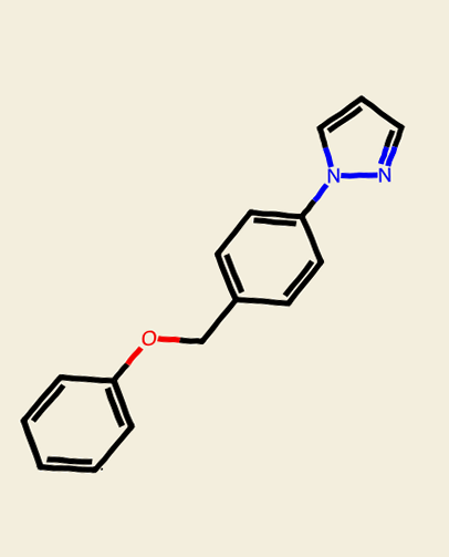 [c]1cccc(OCc2ccc(-n3cccn3)cc2)c1